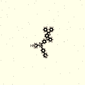 C1=CC(C2N=C(c3ccc(-n4c5ccccc5c5c6sc(-c7ccccc7)c(-c7ccccc7)c6ccc54)cc3)N3C(c4ccc(-c5ccncc5)cc4)N23)=CCN1